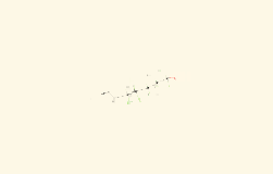 OC(F)(F)C(F)(F)C(F)(F)C(F)(F)C(F)(F)CCC(F)(F)F